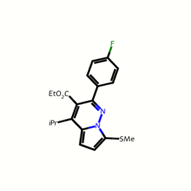 CCOC(=O)c1c(-c2ccc(F)cc2)nn2c(SC)ccc2c1C(C)C